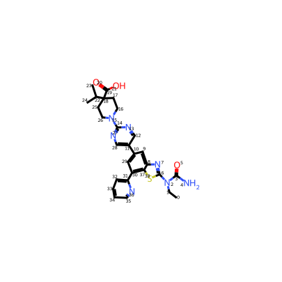 CCN(C(N)=O)c1nc2cc(-c3cnc(N4CCC(C(=O)O)(C(C)C)CC4)nc3)cc(-c3ccccn3)c2s1